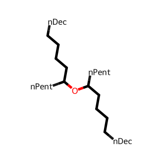 CCCCCCCCCCCCCCC(CCCCC)OC(CCCCC)CCCCCCCCCCCCCC